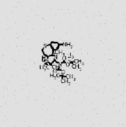 CC(C)(C)OC(=O)N(C(=O)OC(C)(C)C)C1=N[C@]2(C)c3cc(N)ccc3SCC[C@@H]2S(=O)(=O)C1(C)C